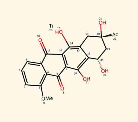 COc1cccc2c1C(=O)c1c(O)c3c(c(O)c1C2=O)C[C@@](O)(C(C)=O)C[C@@H]3O.[Ti]